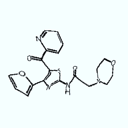 O=C(CN1CCOCC1)Nc1nc(-c2ccco2)c(C(=O)c2ccccn2)s1